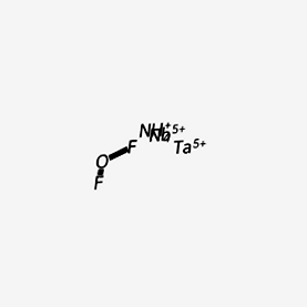 FOF.[NH4+].[Nb+5].[Ta+5]